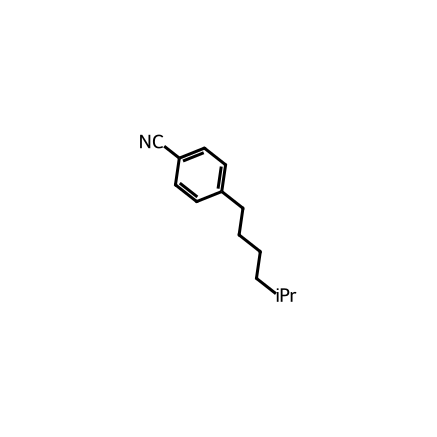 CC(C)CCCCc1ccc(C#N)cc1